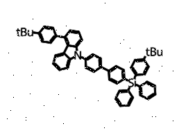 CC(C)(C)c1ccc(-c2cccc3c2c2ccccc2n3-c2ccc(-c3ccc([Si](c4ccccc4)(c4ccccc4)c4ccc(C(C)(C)C)cc4)cc3)cc2)cc1